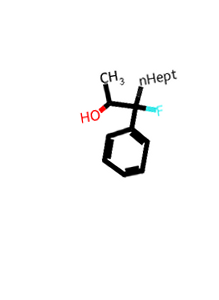 CCCCCCCC(F)(c1ccccc1)C(C)O